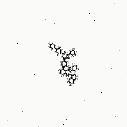 c1ccc(-c2ccc(-c3cc(-c4ccc(-c5cccc6nc(-c7cccc8ccccc78)c7c8ccccc8sc7c56)cc4)nc(-c4ccccc4)n3)cc2)cc1